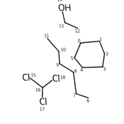 C1CCCCC1.CCCCCC.CCO.ClC(Cl)Cl